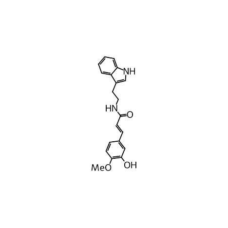 COc1ccc(C=CC(=O)NCCc2c[nH]c3ccccc23)cc1O